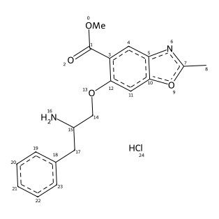 COC(=O)c1cc2nc(C)oc2cc1OCC(N)Cc1ccccc1.Cl